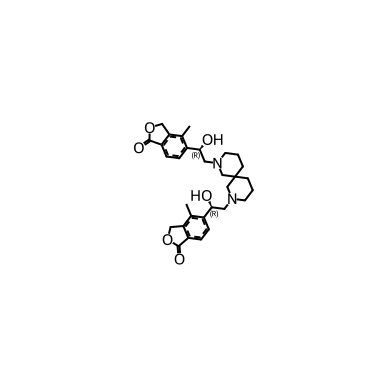 Cc1c([C@@H](O)CN2CCCC3(CCCN(C[C@H](O)c4ccc5c(c4C)COC5=O)C3)C2)ccc2c1COC2=O